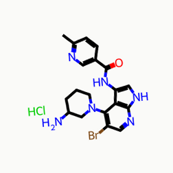 Cc1ccc(C(=O)Nc2c[nH]c3ncc(Br)c(N4CCCC(N)C4)c23)cn1.Cl